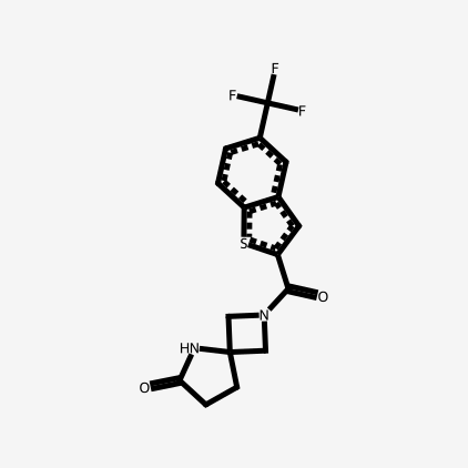 O=C1CCC2(CN(C(=O)c3cc4cc(C(F)(F)F)ccc4s3)C2)N1